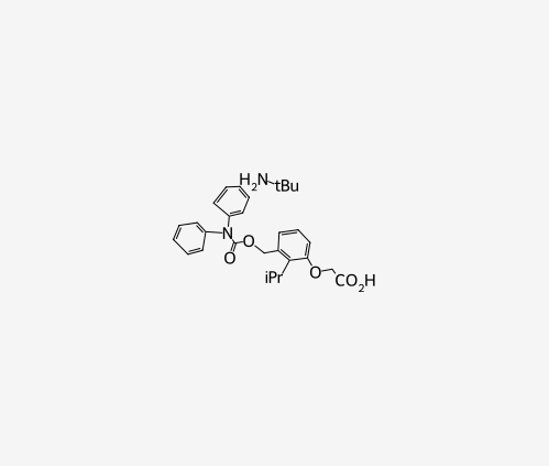 CC(C)(C)N.CC(C)c1c(COC(=O)N(c2ccccc2)c2ccccc2)cccc1OCC(=O)O